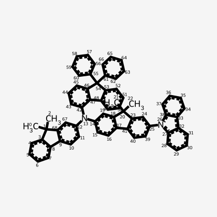 CC1(C)c2ccccc2-c2ccc(N(c3ccc4c(c3)C(C)(C)c3cc(-n5c6ccccc6c6ccccc65)ccc3-4)c3cccc4c3-c3ccccc3C4(c3ccccc3)c3ccccc3)cc21